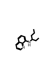 CCCC(CC)Nc1cccc2cccnc12